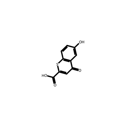 O=C(O)c1cc(=O)c2cc(O)ccc2s1